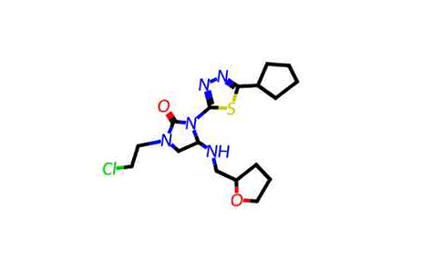 O=C1N(CCCl)CC(NCC2CCCO2)N1c1nnc(C2CCCC2)s1